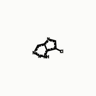 Clc1cnc2cnn[nH]c1-2